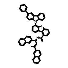 C=C(/N=C(\C=C(/C)c1ccc2ccccc2c1)c1ccc2ccccc2c1)c1cccc2oc3c(-n4c5ccccc5c5cc(-c6ccccc6)ccc54)cccc3c12